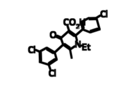 CCn1c(C)c(-c2cc(Cl)cc(Cl)c2)c(=O)c(C(=O)O)c1-c1ccc(Cl)cc1